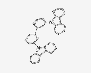 c1cc(-n2c3ccccc3c3ccccc32)cc(-c2cccc(-n3c4ccccc4c4ccccc43)c2)c#1